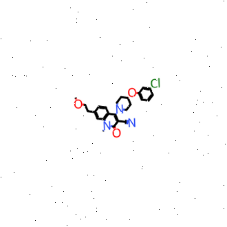 COCCc1ccc2c(N3CCC(Oc4cccc(Cl)c4)CC3)c(C#N)c(=O)n(C)c2c1